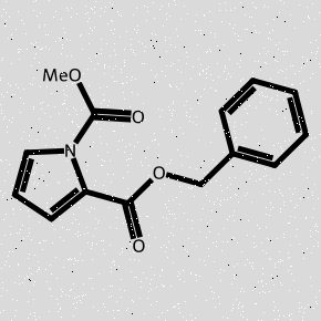 COC(=O)n1cccc1C(=O)OCc1ccccc1